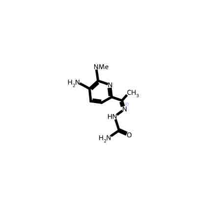 CNc1nc(/C(C)=N\NC(N)=O)ccc1N